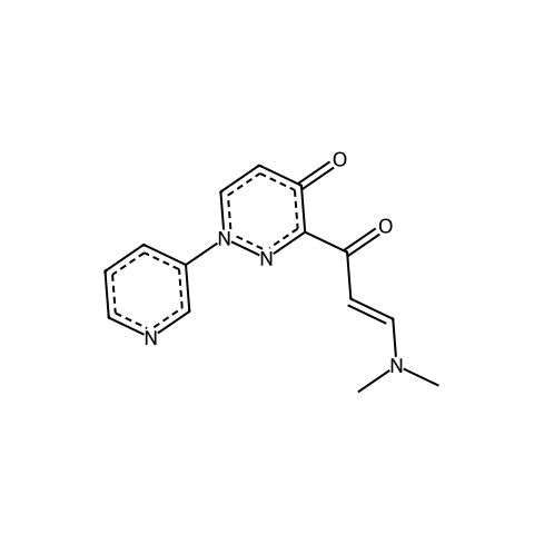 CN(C)C=CC(=O)c1nn(-c2cccnc2)ccc1=O